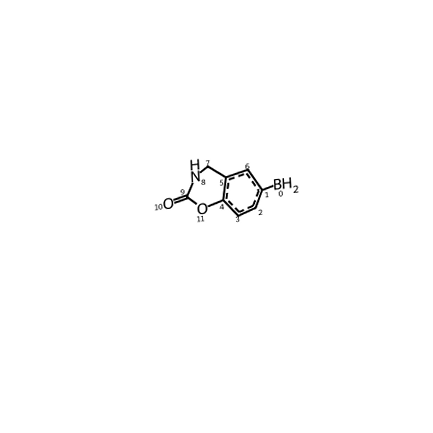 Bc1ccc2c(c1)CNC(=O)O2